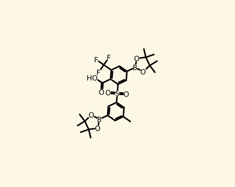 Cc1cc(B2OC(C)(C)C(C)(C)O2)cc(S(=O)(=O)c2cc(B3OC(C)(C)C(C)(C)O3)cc(C(F)(F)F)c2C(=O)O)c1